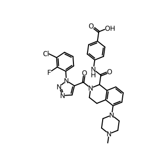 CN1CCN(c2cccc3c2CCN(C(=O)c2cnnn2-c2cccc(Cl)c2F)C3C(=O)Nc2ccc(C(=O)O)cc2)CC1